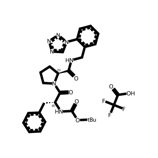 CC(C)(C)OC(=O)N[C@H](Cc1ccccc1)C(=O)N1CCC[C@H]1C(=O)NCc1ccccc1-n1cnnn1.O=C(O)C(F)(F)F